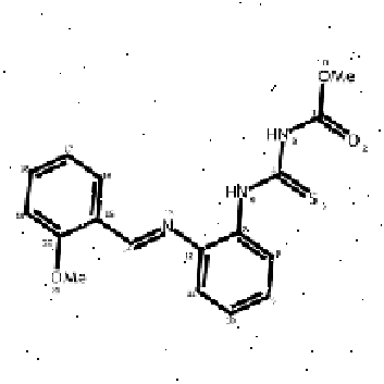 COC(=O)NC(=S)Nc1ccccc1/N=C/c1ccccc1OC